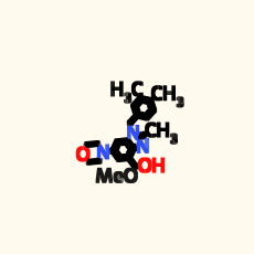 COC(O)c1cc(N2CCOCC2)cc2c1nc(C)n2Cc1ccc(C)c(C)c1